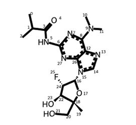 CC(C)C(=O)Nc1nc(N(C)C)c2ncn([C@@H]3O[C@](C)(CO)[C@@H](O)[C@@H]3F)c2n1